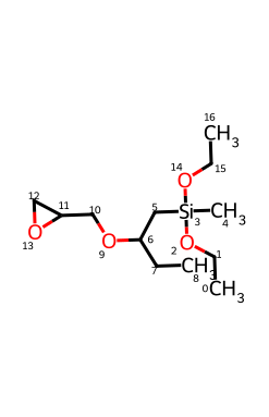 CCO[Si](C)(CC(CC)OCC1CO1)OCC